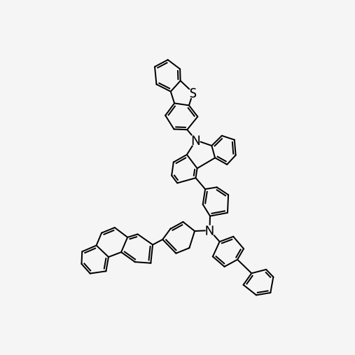 C1=CC(N(c2ccc(-c3ccccc3)cc2)c2cccc(-c3cccc4c3c3ccccc3n4-c3ccc4c(c3)sc3ccccc34)c2)CC=C1c1ccc2c(ccc3ccccc32)c1